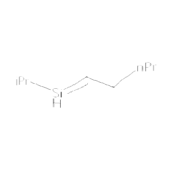 [CH2]CCCC=[SiH]C(C)C